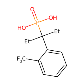 CCC(CC)(c1ccccc1C(F)(F)F)P(=O)(O)O